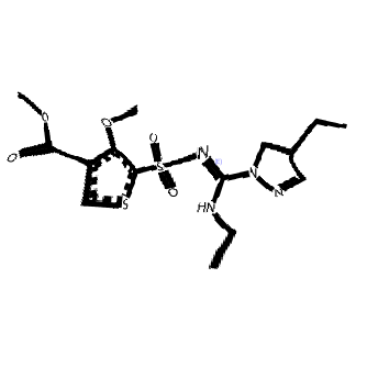 CCN/C(=N\S(=O)(=O)c1scc(C(=O)OC)c1OC)N1CC(CC)C=N1